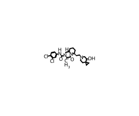 C[C@H]1C(=O)N2[C@H](CCN3CCC4(CC4)[C@H](O)C3)CCC[C@@H]2CN1C(=O)Nc1ccc(Cl)c(Cl)c1